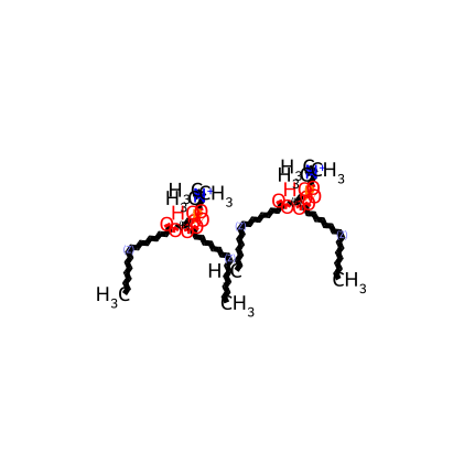 CCCCCCCC/C=C\CCCCCCCC(=O)OC[C@H](COP(=O)(O)OCC[N+](C)(C)C)OC(=O)CCCCCCC/C=C\CCCCCCCC.CCCCCCCC/C=C\CCCCCCCC(=O)OC[C@H](COP(=O)(O)OCC[N+](C)(C)C)OC(=O)CCCCCCC/C=C\CCCCCCCC